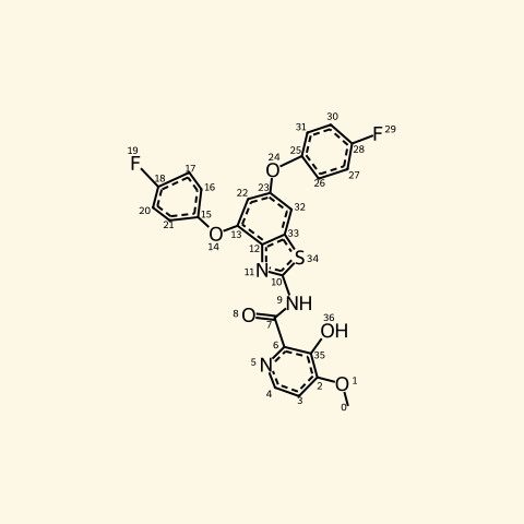 COc1ccnc(C(=O)Nc2nc3c(Oc4ccc(F)cc4)cc(Oc4ccc(F)cc4)cc3s2)c1O